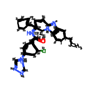 CCc1ccc2c(c1)nc1n2CC(NC(=O)c2ccc(-n3cnnc3)cc2Cl)(c2ccccc2)CC1